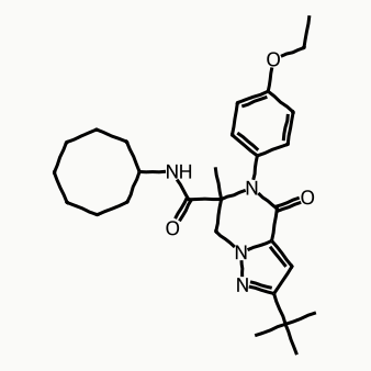 CCOc1ccc(N2C(=O)c3cc(C(C)(C)C)nn3CC2(C)C(=O)NC2CCCCCCC2)cc1